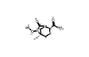 NC(=O)[C@H]1CC[C@@H]2CN1C(=O)N2OS